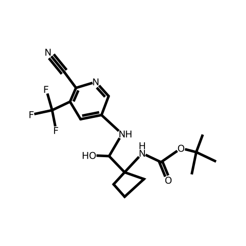 CC(C)(C)OC(=O)NC1(C(O)Nc2cnc(C#N)c(C(F)(F)F)c2)CCC1